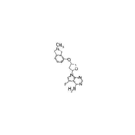 CN1Cc2cccc(OC3COC(n4cc(F)c5c(N)ncnc54)C3)c2C1